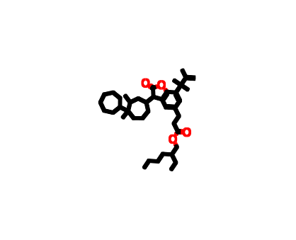 C=C(C)C(C)(C)c1cc(CCC(=O)OCC(CC)CCCC)cc2c1OC(=O)C2C1CCCC(C)(C2CCCCCC2)C(C)C1